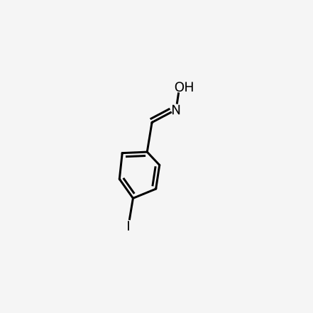 ON=Cc1ccc(I)cc1